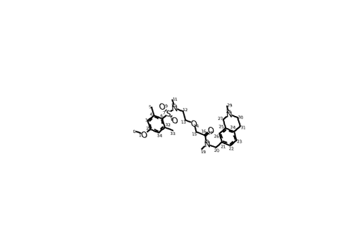 COc1cc(C)c(S(=O)(=O)N(C)CCOCC(=O)N(C)Cc2ccc3c(c2)CN(C)CC3)c(C)c1